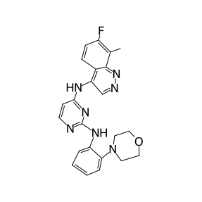 Cc1c(F)ccc2c(Nc3ccnc(Nc4ccccc4N4CCOCC4)n3)cnnc12